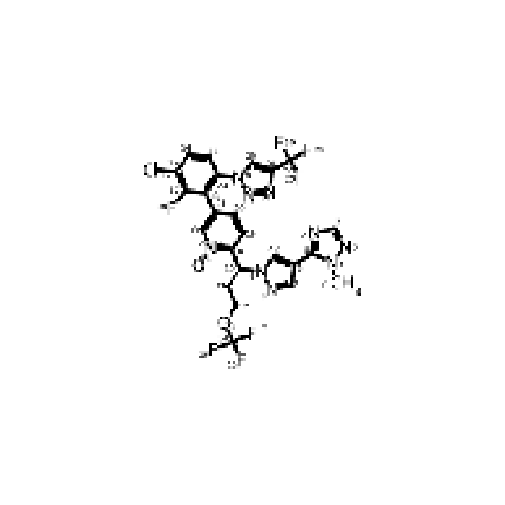 Cn1ncnc1-c1cnn([C@@H](CCOC(F)(F)F)c2ccc(-c3c(-n4cc(C(F)(F)F)nn4)ccc(Cl)c3F)c[n+]2[O-])c1